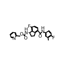 Cc1cc(NC(=O)c2ccc(F)c3c2CC[C@@H]3NC(=O)OCc2ccccn2)ccc1F